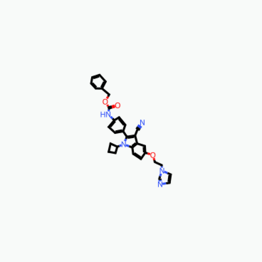 N#Cc1c(-c2ccc(NC(=O)OCc3ccccc3)cc2)n(C2CCC2)c2ccc(OCCn3ccnc3)cc12